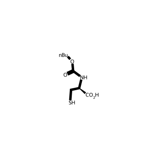 CCCCOC(=O)N[C@H](CS)C(=O)O